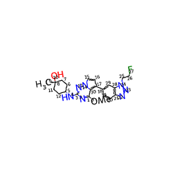 COc1nc(N[C@H]2CC[C@@](C)(O)CC2)nn2ccc(-c3ccc4nnn(CCF)c4c3)c12